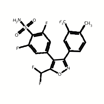 Cc1ccc(-c2noc(C(F)F)c2-c2cc(F)c(S(N)(=O)=O)c(F)c2)cc1C(F)(F)F